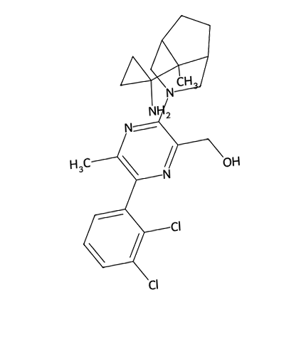 Cc1nc(N2CC3CCC(C2)C3(C)C2(N)CC2)c(CO)nc1-c1cccc(Cl)c1Cl